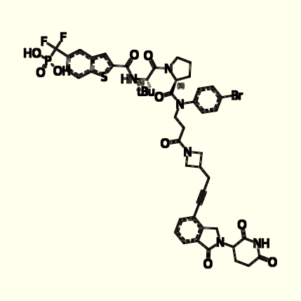 CC(C)(C)[C@H](NC(=O)c1cc2cc(C(F)(F)P(=O)(O)O)ccc2s1)C(=O)N1CCC[C@H]1C(=O)N(CCC(=O)N1CC(CC#Cc2cccc3c2CN(C2CCC(=O)NC2=O)C3=O)C1)c1ccc(Br)cc1